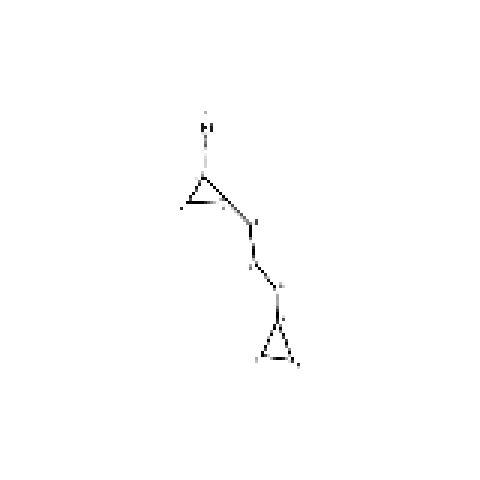 CCC1C[C]1CCCC1CC1